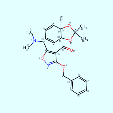 CN(C)Cc1onc(OCc2ccccc2)c1C(=O)[C@]12C=CC=C[C@H]1OC(C)(C)O2